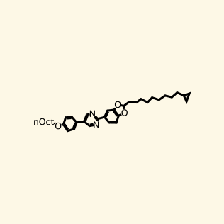 CCCCCCCCOc1ccc(-c2cnc(-c3ccc4c(c3)OC(CCCCCCCCCC3CC3)O4)nc2)cc1